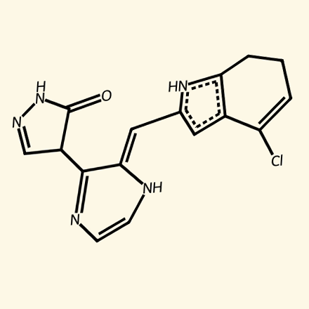 O=C1NN=CC1C1=NC=CNC1=Cc1cc2c([nH]1)CCC=C2Cl